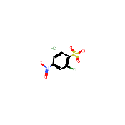 Cl.O=[N+]([O-])c1ccc(S(=O)(=O)O)c(Cl)c1